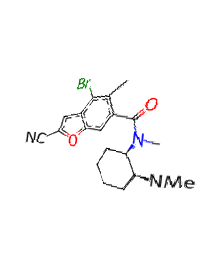 CN[C@H]1CCCC[C@H]1N(C)C(=O)c1cc2oc(C#N)cc2c(Br)c1C